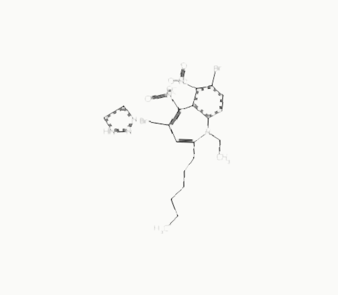 CCCCCCC1=CC(Br)=C([N+](=O)[O-])c2c(ccc(Br)c2[N+](=O)[O-])N1CC.c1c[nH]nn1